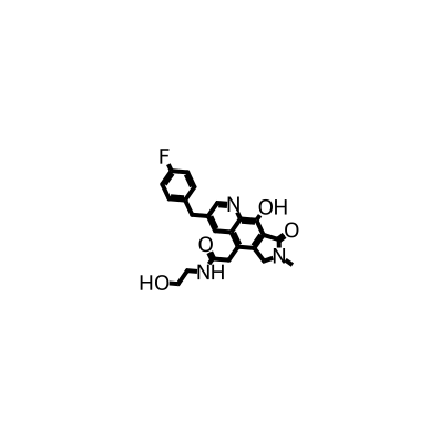 CN1Cc2c(c(O)c3ncc(Cc4ccc(F)cc4)cc3c2CC(=O)NCCO)C1=O